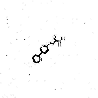 CCNC(=O)COc1ccc(-c2ccccn2)cn1